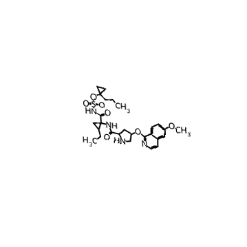 CCCC1(OS(=O)(=O)NC(=O)C2(NC(=O)C3CC(Oc4nccc5cc(OC)ccc45)CN3)CC2CC)CC1